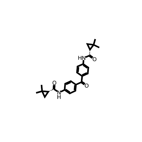 CC1(C)C[C@H]1C(=O)Nc1ccc(C(=O)c2ccc(NC(=O)[C@@H]3CC3(C)C)cc2)cc1